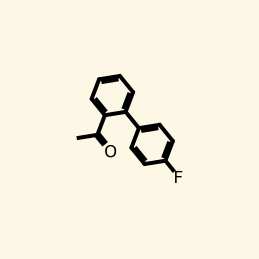 CC(=O)c1ccccc1-c1ccc(F)cc1